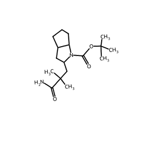 CC(C)(C)OC(=O)N1C(CC(C)(C)C(N)=O)CC2CCCC21